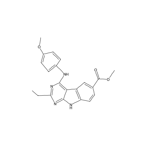 CCc1nc(Nc2ccc(OC)cc2)c2c(n1)[nH]c1ccc(C(=O)OC)cc12